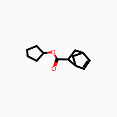 O=C(OC1CCCC1)C1CC2C=CC1C2